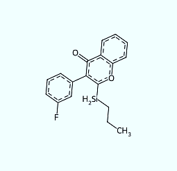 CCC[SiH2]c1oc2ccccc2c(=O)c1-c1cccc(F)c1